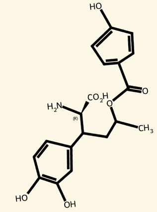 CC(CC(c1ccc(O)c(O)c1)[C@@H](N)C(=O)O)OC(=O)c1ccc(O)cc1